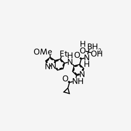 BC(O)(O)NC(=O)c1cnc(NC(=O)C2CC2)cc1Nc1ccn2ncc(OC)c2c1CC